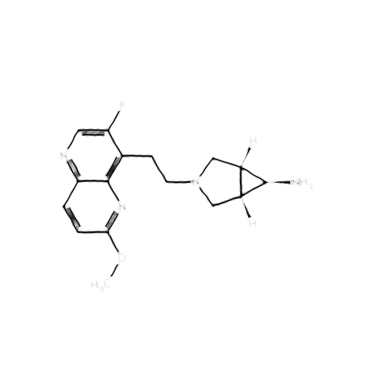 COc1ccc2ncc(F)c(CCN3C[C@@H]4[C@@H](N)[C@@H]4C3)c2n1